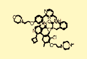 CC1=C(c2c(C3CCC3)ncc3snc(O[C@H](Cc4ccccc4OCc4ccnc(-c5ccc(OCCN6CCOCC6)cc5)n4)C(=O)O)c23)CC(C)C(OCCN2CCN(C)CC2)=C1Cl